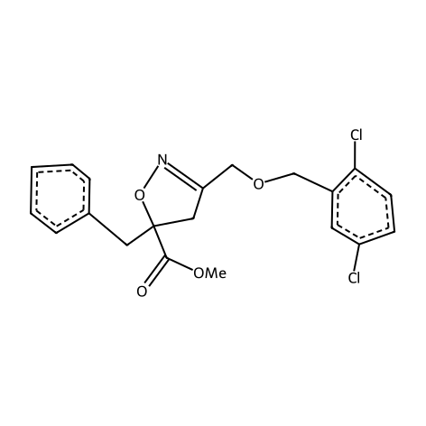 COC(=O)C1(Cc2ccccc2)CC(COCc2cc(Cl)ccc2Cl)=NO1